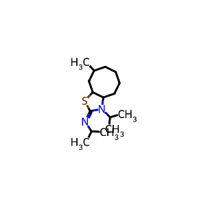 CC1CCCCC2C(C1)S/C(=N/C(C)C)N2C(C)C